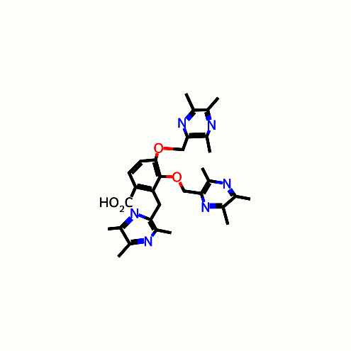 Cc1nc(C)c(COc2ccc(C(=O)O)c(Cc3nc(C)c(C)nc3C)c2OCc2nc(C)c(C)nc2C)nc1C